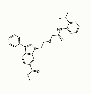 COC(=O)c1ccc2c(-c3ccccc3)cn(CCOCC(=O)Nc3ccccc3C(C)C)c2c1